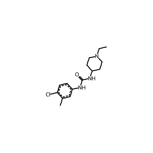 CCN1CCC(NC(=O)Nc2ccc(Cl)c(C)c2)CC1